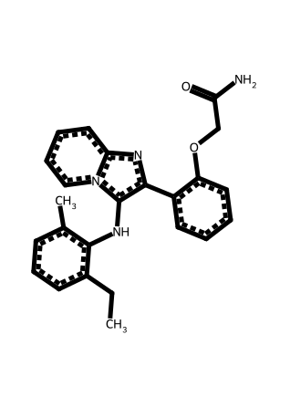 CCc1cccc(C)c1Nc1c(-c2ccccc2OCC(N)=O)nc2ccccn12